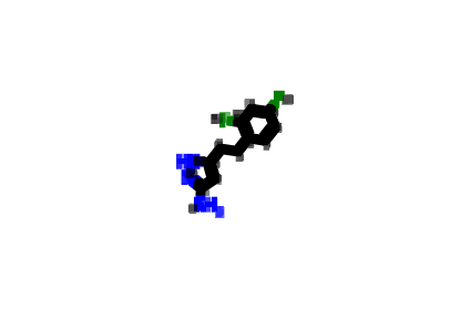 Nc1cc(CCc2ccc(F)cc2F)[nH]n1